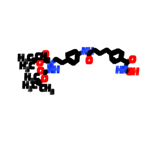 CC(C)(C)OC(=O)NN(CCc1ccc(NC(=O)CCCc2ccc(C(=O)NO)cc2)cc1)C(=O)OC(C)(C)C